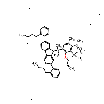 C=CCOc1c([Si](C)(C)C2c3cc(-c4ccccc4CCCC)ccc3-c3ccc(-c4ccccc4CCCC)cc32)cc(C)c([SiH](C)C)c1C(C)(C)C